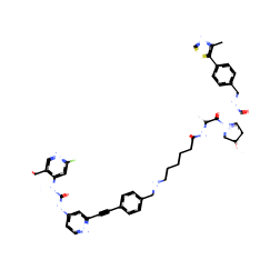 Cc1ncsc1-c1ccc(CNC(=O)[C@@H]2C[C@@H](O)CN2C(=O)[C@H](C)NC(=O)CCCCCNCc2ccc(C#Cc3cc(NC(=O)Nc4cc(F)ncc4CO)ccn3)cc2)cc1